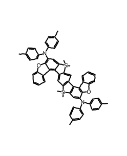 Cc1ccc(N(c2ccc(C)cc2)c2cc3c(c4c2oc2ccccc24)-c2cc4c(cc2[Si]3(C)C)-c2c(cc(N(c3ccc(C)cc3)c3ccc(C)cc3)c3oc5ccccc5c23)[Si]4(C)C)cc1